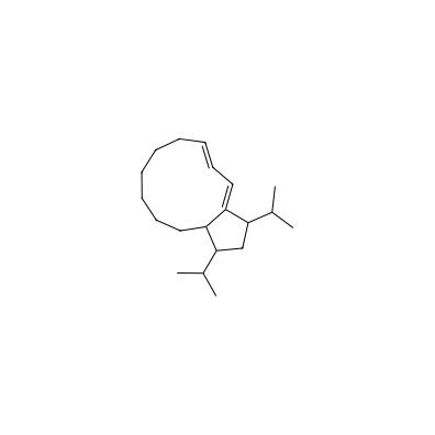 CC(C)C1CC(C(C)C)C2CCCCCC/C=C/C=C/12